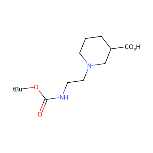 CC(C)(C)OC(=O)NCCN1CCCC(C(=O)O)C1